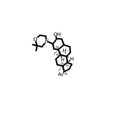 CC(=O)[C@H]1CC[C@H]2[C@@H]3CCC4CC(O)C(N5CCOC(C)(C)C5)C[C@]4(C)[C@H]3CC[C@]12C